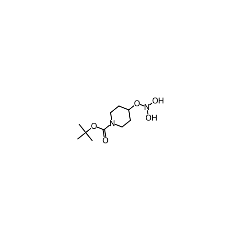 CC(C)(C)OC(=O)N1CCC(ON(O)O)CC1